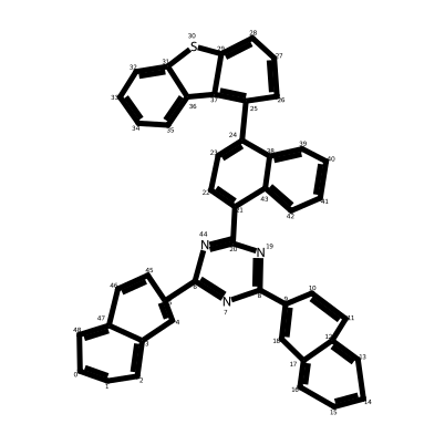 c1ccc2cc(-c3nc(-c4ccc5ccccc5c4)nc(-c4ccc(-c5cccc6sc7ccccc7c56)c5ccccc45)n3)ccc2c1